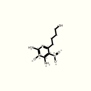 Nc1nc(CCCCS)c([N+](=O)[O-])c(N)[n+]1[O-]